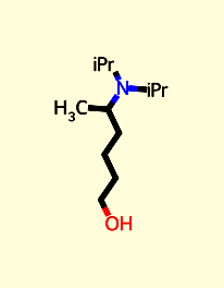 CC(C)N(C(C)C)C(C)CCCCO